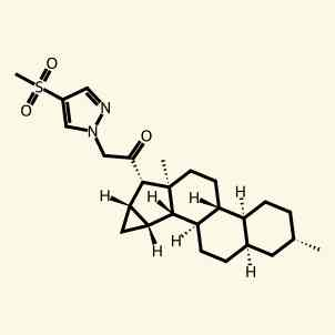 C[C@H]1CC[C@H]2[C@H](CC[C@@H]3[C@@H]2CC[C@@]2(C)[C@H]3[C@@H]3C[C@@H]3[C@@H]2C(=O)Cn2cc(S(C)(=O)=O)cn2)C1